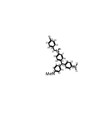 CNc1ccc(C(c2ccc(N(C)C)cc2)c2ccc(N(C)Cc3ccc(C)cc3)cc2)cc1